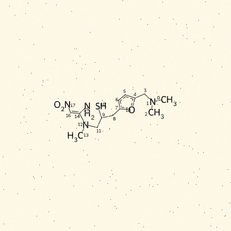 CN(C)Cc1ccc(CC(S)CN(C)C(N)=C[N+](=O)[O-])o1